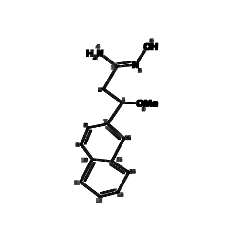 COC(CC(N)=NO)c1ccc2ccccc2c1